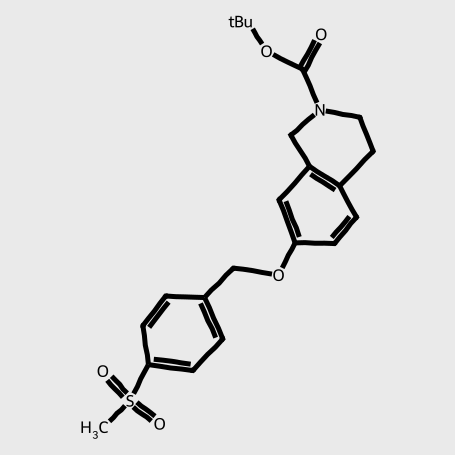 CC(C)(C)OC(=O)N1CCc2ccc(OCc3ccc(S(C)(=O)=O)cc3)cc2C1